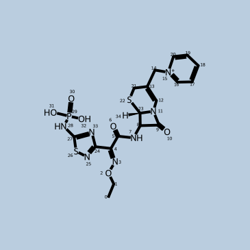 CCON=C(C(=O)NC1C(=O)N2C=C(C[n+]3ccccc3)CS[C@@H]12)c1nsc(NP(=O)(O)O)n1